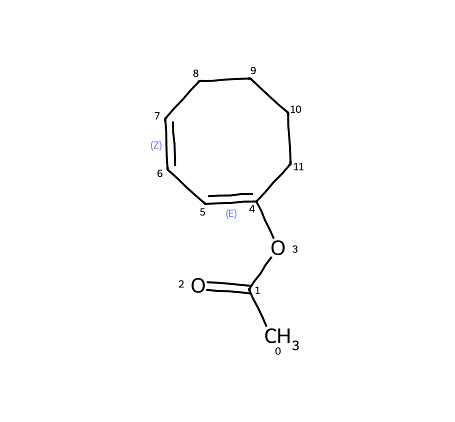 CC(=O)O/C1=C/C=C\CCCC1